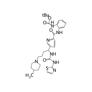 CC1CCN(CCCC(NC(=O)Nc2nccs2)c2ccc(C(=O)Nc3ccccc3NC(=O)OC(C)(C)C)nc2)CC1